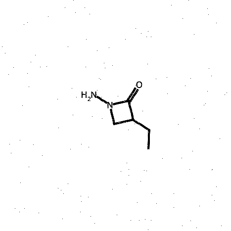 CCC1CN(N)C1=O